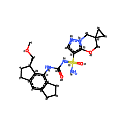 COC[C@@H]1CCc2cc3c(c(NC(=O)N=S(N)(=O)c4cnn5c4OCC4(CC4)C5)c21)CCC3